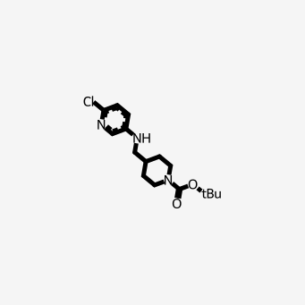 CC(C)(C)OC(=O)N1CCC(CNc2ccc(Cl)nc2)CC1